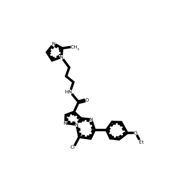 CCOc1ccc(-c2cc(Cl)n3ncc(C(=O)NCCCn4ccnc4C)c3n2)cc1